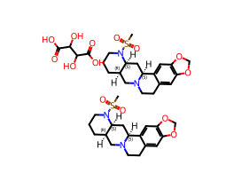 CS(=O)(=O)N1CCC[C@@H]2CN3CCc4cc5c(cc4[C@@H]3C[C@@H]21)OCO5.CS(=O)(=O)N1CCC[C@@H]2CN3CCc4cc5c(cc4[C@@H]3C[C@@H]21)OCO5.O=C(O)C(O)C(O)C(=O)O